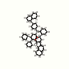 c1ccc(-c2ccc(N(c3ccc(-c4cccc5ccccc45)cc3)c3ccccc3-c3ccc4oc5c6ccccc6ccc5c4c3)cc2-c2ccccc2)cc1